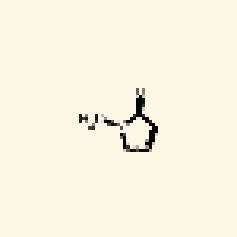 CN1CC=CC1=O